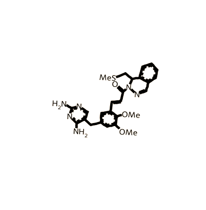 COc1cc(Cc2cnc(N)nc2N)cc(C=CC(=O)N2N=Cc3ccccc3C2CSC)c1OC